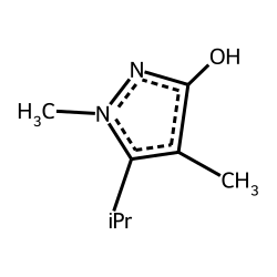 Cc1c(O)nn(C)c1C(C)C